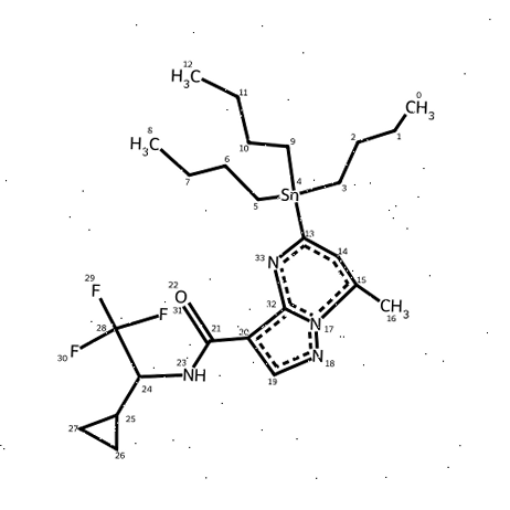 CCC[CH2][Sn]([CH2]CCC)([CH2]CCC)[c]1cc(C)n2ncc(C(=O)NC(C3CC3)C(F)(F)F)c2n1